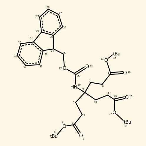 CC(C)(C)OC(=O)CCC(CCC(=O)OC(C)(C)C)(CCC(=O)OC(C)(C)C)NC(=O)OCC1c2ccccc2-c2ccccc21